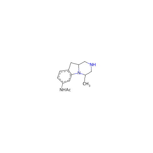 CC(=O)Nc1ccc2c(c1)N1C(C)CNCC1C2